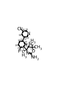 CC1(C)OC(N)=N[C@](C)(c2cc(-c3cncc(Cl)c3)ccc2F)C1(F)F